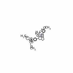 COCCCN(C1CCN(C)CC1)S(=O)(=O)c1ccc(C(CC2CCCC2)C(=O)N/C(C)=N/c2ccc(OC)nc2C)cc1